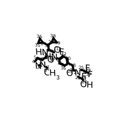 CCn1nccc1C(=O)NC(C(=O)Nc1ccc(CC(=O)N(CCO)CC(F)(F)F)cc1F)C(C1CC1)C1CC1